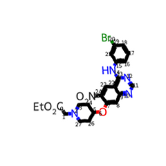 CCOC(=O)CN1CCC(Oc2cc3ncnc(Nc4cccc(Br)c4)c3cc2[N+](=O)[O-])CC1